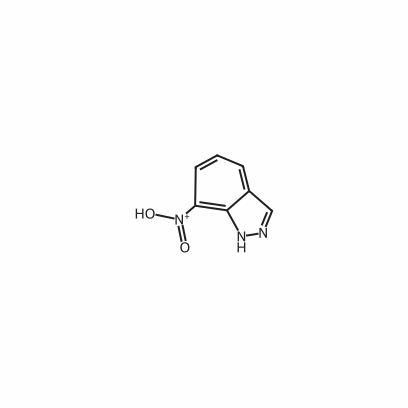 O=[N+](O)c1cccc2cn[nH]c12